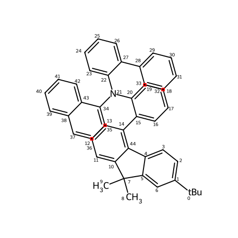 CC(C)(C)c1ccc2c(c1)C(C)(C)c1cccc(-c3ccccc3N(c3ccccc3-c3ccccc3)c3cccc4ccccc34)c1-2